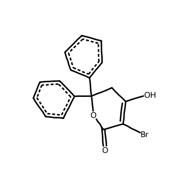 O=C1OC(c2ccccc2)(c2ccccc2)CC(O)=C1Br